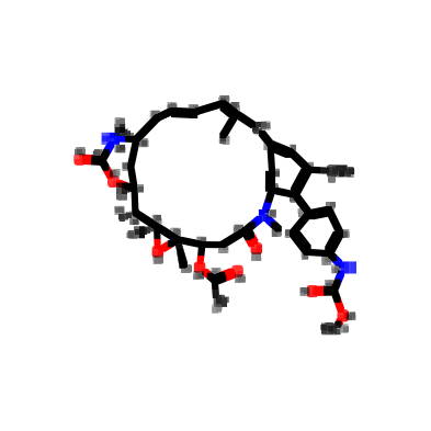 COc1cc2cc(c1-c1ccc(NC(=O)OC(C)(C)C)cc1)N(C)C(=O)CC(OC(=O)C(C)C)[C@]1(C)O[C@H]1[C@H](C)[C@@H]1C[C@H](C/C=C/C=C(\C)C2)NC(=O)O1